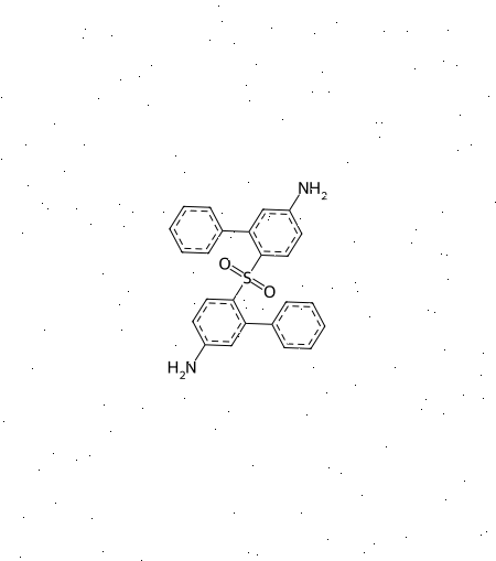 Nc1ccc(S(=O)(=O)c2ccc(N)cc2-c2ccccc2)c(-c2ccccc2)c1